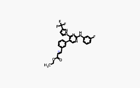 CCOC(=O)/C=C/c1cccc(-c2cnc(Nc3cccc(F)c3)nc2-n2ccc(C(F)(F)F)n2)c1